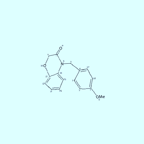 COc1ccc(CN2C(=O)COc3ccccc32)cc1